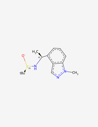 C[C@H](N[S@+]([O-])C(C)(C)C)c1cccc2c1cnn2C